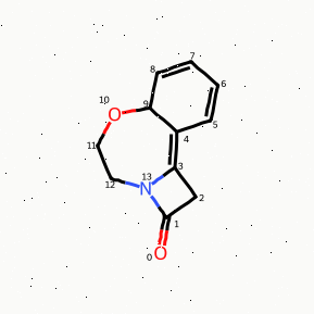 O=C1CC2=C3C=CC=CC3OCCN12